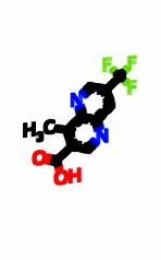 Cc1c(C(=O)O)cnc2cc(C(F)(F)F)cnc12